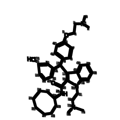 CN(C)CCOc1ccc(C(c2ccccc2)c2c(C(=O)NC3CCCCCCC3)n(CCN(C)C)c3ccccc23)cc1.Cl